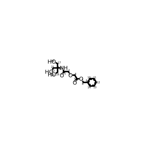 O=C(COCC(=O)OCc1ccccc1)NC(CO)(CO)CO